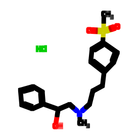 CN(CCCc1ccc(S(C)(=O)=O)cc1)CC(O)c1ccccc1.Cl